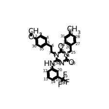 COc1ccc(CCn2c(Nc3cccc(C(F)(F)F)c3)nc(=O)n(Cc3ccc(C)cc3)c2=O)cc1